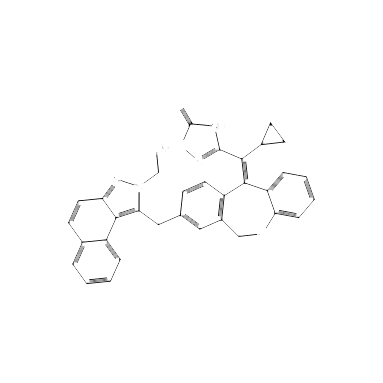 COCn1nc2ccc3ccccc3c2c1Cc1ccc2c(c1)COc1ccccc1/C2=C(/c1noc(=O)[nH]1)C1CC1